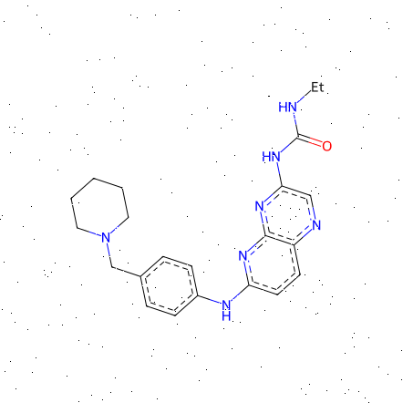 CCNC(=O)Nc1cnc2ccc(Nc3ccc(CN4CCCCC4)cc3)nc2n1